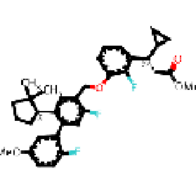 COC(=O)C[C@H](c1cccc(OCc2cc([C@H]3CCCC3(C)C)c(-c3cc(OC)ccc3F)cc2F)c1F)C1CC1